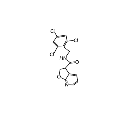 O=C(NCc1c(Cl)cc(Cl)cc1Cl)C1COc2ncccc21